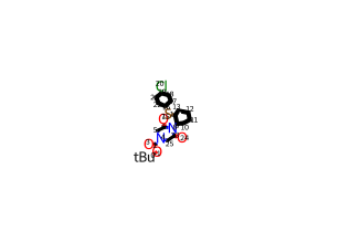 CC(C)(C)OC(=O)N1CC(=O)N(c2ccccc2Sc2ccc(Cl)cc2)C(=O)C1